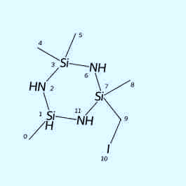 C[SiH]1N[Si](C)(C)N[Si](C)(CI)N1